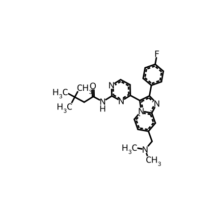 CN(C)Cc1ccn2c(-c3ccnc(NC(=O)CC(C)(C)C)n3)c(-c3ccc(F)cc3)nc2c1